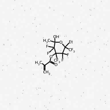 C=C(C)C(=O)OC1(C(F)(F)F)C(F)(F)C(C)(O)OC(CC)(C(F)(F)F)C1(F)F